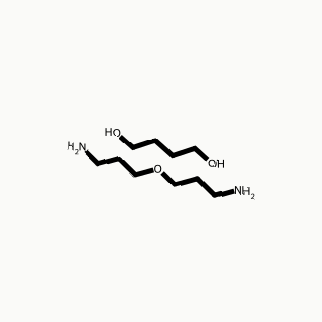 NCCCOCCCN.OCCCCO